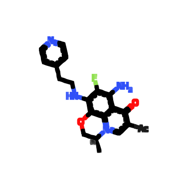 CC(=O)c1cn2c3c(c(NCCc4ccncc4)c(F)c(N)c3c1=O)OC[C@@H]2C